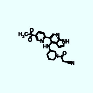 CS(=O)(=O)c1ccc(-c2cnc3[nH]ccc3c2NC2CCCN(C(=O)CC#N)C2)nc1